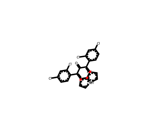 O=C(/C(=C\c1ncc[nH]1)c1ccc(Cl)cc1Cl)/C(=C\c1ncc[nH]1)c1ccc(Cl)cc1Cl